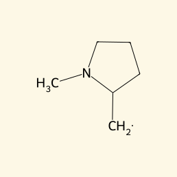 [CH2]C1CCCN1C